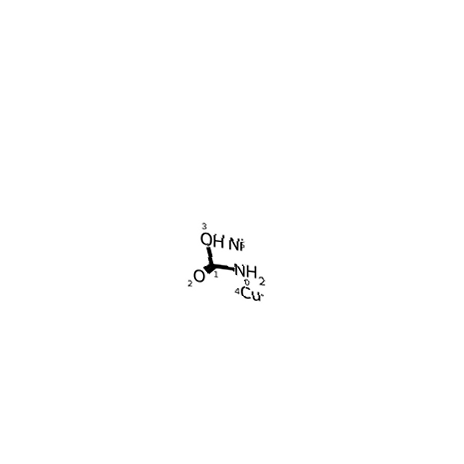 NC(=O)O.[Cu].[Ni]